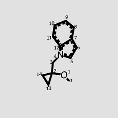 COC1(Cn2ccc3ccccc32)CC1